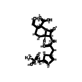 C=CC1=C(C(=O)O)N2C(=O)C(NC(=O)Cc3cnc(NS(C)(=O)=O)s3)[C@H]2SC1